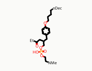 CCCCCCCCCCCCCCOc1ccc(CC(COP(=O)(O)OCCNC)CC(=O)CC)cc1